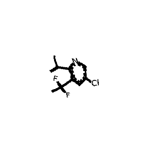 CC(C)c1ncc(Cl)cc1C(C)(F)F